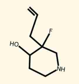 C=CCC1(F)CNCCC1O